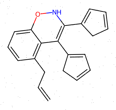 C=CCc1cccc2c1C(C1=CC=CC1)=C(C1=CC=CC1)NO2